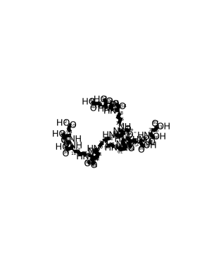 O=C(O)CC[C@H](NC(=O)N[C@@H](CCCCNc1nc(NCCN(CCNc2ccc([N+](=O)[O-])c(NCCCC[C@H](NC(=O)N[C@@H](CCC(=O)O)C(=O)O)C(=O)O)n2)CCNc2ccc([N+](=O)[O-])c(NCCCC[C@H](NC(=O)N[C@@H](CCC(=O)O)C(=O)O)C(=O)O)n2)ccc1[N+](=O)[O-])C(=O)O)C(=O)O